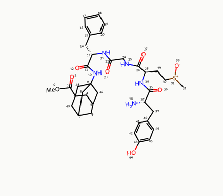 COC(=O)C12CC3CC(CC(NC(=O)[C@H](Cc4ccccc4)NC(=O)CNC(=O)[C@@H](CC[S+](C)[O-])NC(=O)[C@@H](N)Cc4ccc(O)cc4)(C3)C1)C2